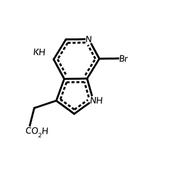 O=C(O)Cc1c[nH]c2c(Br)nccc12.[KH]